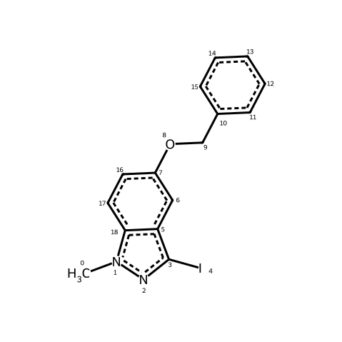 Cn1nc(I)c2cc(OCc3ccccc3)ccc21